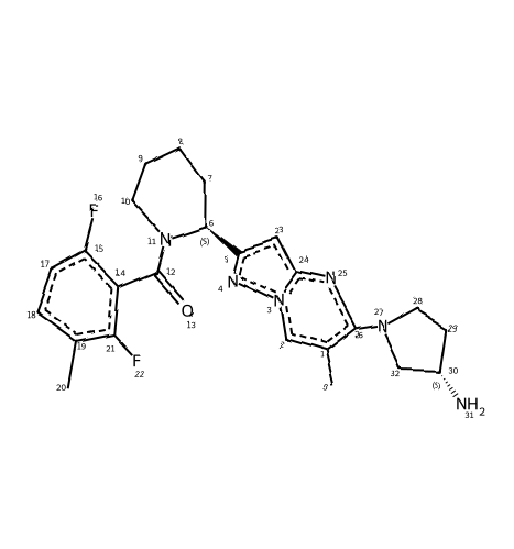 Cc1cn2nc([C@@H]3CCCCN3C(=O)c3c(F)ccc(C)c3F)cc2nc1N1CC[C@H](N)C1